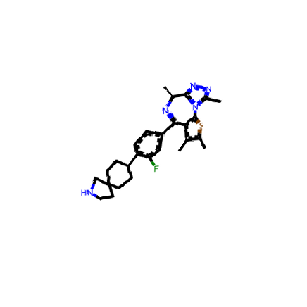 Cc1sc2c(c1C)C(c1ccc(C3CCC4(CCNC4)CC3)c(F)c1)=N[C@@H](C)c1nnc(C)n1-2